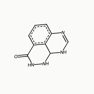 O=C1NNC2NC=Nc3cccc1c32